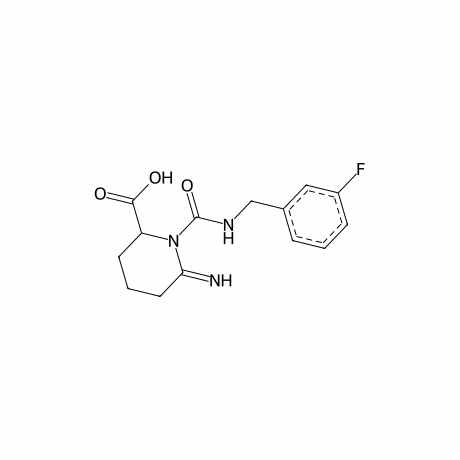 N=C1CCCC(C(=O)O)N1C(=O)NCc1cccc(F)c1